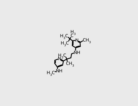 CNc1ccnc(C(C)(C)CCNc2cc(C)nc(C(C)(C)C)c2)c1